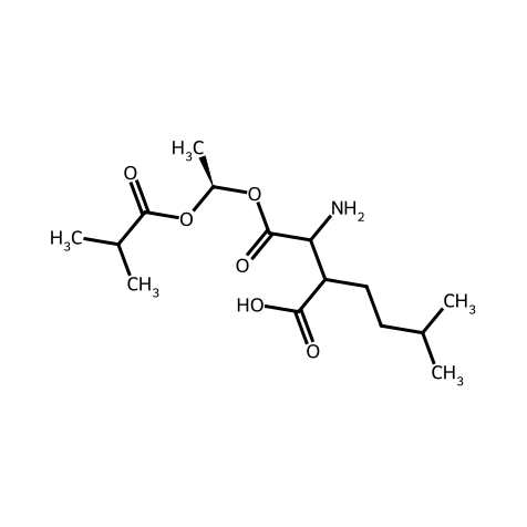 CC(C)CCC(C(=O)O)C(N)C(=O)O[C@H](C)OC(=O)C(C)C